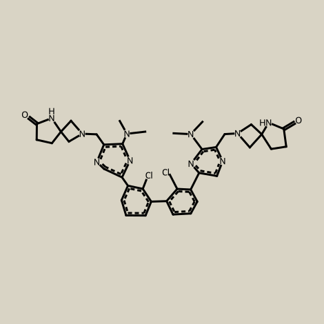 CN(C)c1nc(-c2cccc(-c3cccc(-c4cnc(CN5CC6(CCC(=O)N6)C5)c(N(C)C)n4)c3Cl)c2Cl)cnc1CN1CC2(CCC(=O)N2)C1